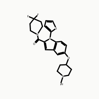 CC(C)N1CCC(Oc2ccc3c(c2)cc(C(=O)N2CCC(F)(F)CC2)n3-c2cccs2)CC1